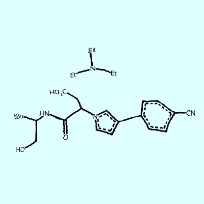 CC(C)(C)C(CO)NC(=O)C(CC(=O)O)n1ccc(-c2ccc(C#N)cc2)c1.CCN(CC)CC